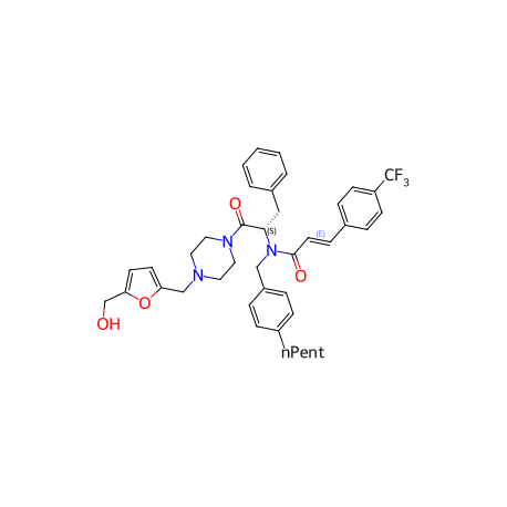 CCCCCc1ccc(CN(C(=O)/C=C/c2ccc(C(F)(F)F)cc2)[C@@H](Cc2ccccc2)C(=O)N2CCN(Cc3ccc(CO)o3)CC2)cc1